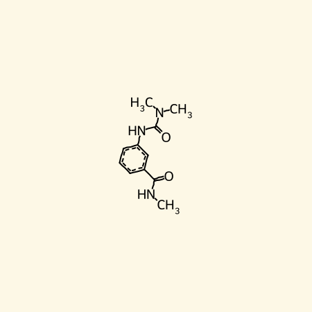 CNC(=O)c1cccc(NC(=O)N(C)C)c1